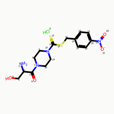 Cl.NC(CO)C(=O)N1CCN(C(=S)SCc2ccc([N+](=O)[O-])cc2)CC1